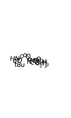 CC1(C)OC[C@@H](CN(C(=O)O)c2cc(Oc3ccc4c(c3)CC(C(=O)Nc3cccc(C(C)(C)C)c3)CC4)ccn2)O1